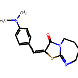 CN(C)c1ccc(/C=c2/sc3n(c2=O)CCCCN=3)cc1